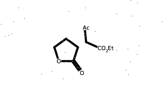 CCOC(=O)CC(C)=O.O=C1CCCO1